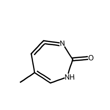 CC1=CNC(=O)N=C=C1